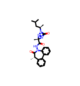 CC(C)C[C@@H](C)n1c(=O)n2n1[C@@]2(C)C(=O)NN1C(=O)[C@@H](C)c2ccccc2-c2ccccc21